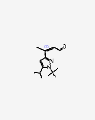 C/C(=C/C=O)c1cc(C(C)C)n(C(C)(C)C)n1